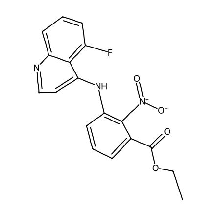 CCOC(=O)c1cccc(Nc2ccnc3cccc(F)c23)c1[N+](=O)[O-]